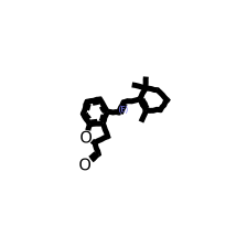 CC1=C(/C=C/c2cccc3c2CC(C=O)O3)C(C)(C)CCC1